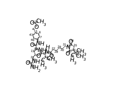 CC(=O)OCc1ccc(NC(=O)[C@H](CCCNC(N)=O)NC(=O)C(NC(=O)CCCCCN2C(=O)CC(C(C)(C)C)C2=O)C(C)C)cc1